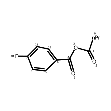 CCCC(=O)OC(=O)c1ccc(F)cc1